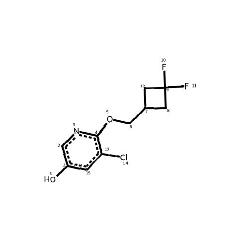 Oc1cnc(OCC2CC(F)(F)C2)c(Cl)c1